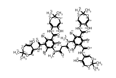 CN(C(=O)CC(=O)N(C)c1c(Br)c(C(=O)NC2=COC(C)(C)OC=C2O)c(Br)c(C(=O)NC2=COC(C)(C)OC=C2O)c1Br)c1c(Br)c(C(=O)NC2=COC(C)(C)OC=C2O)c(Br)c(C(=O)NC2=COC(C)(C)OC=C2O)c1Br